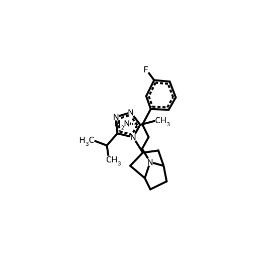 Cc1nnc(C(C)C)n1C1CC2CCC(C1)N2CC[C@H](N)c1cccc(F)c1